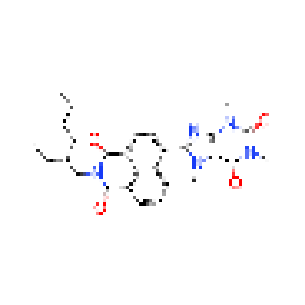 CCCCC(CC)CN1C(=O)c2cccc3c(-c4nc5c(c(=O)n(C)c(=O)n5C)n4C)ccc(c23)C1=O